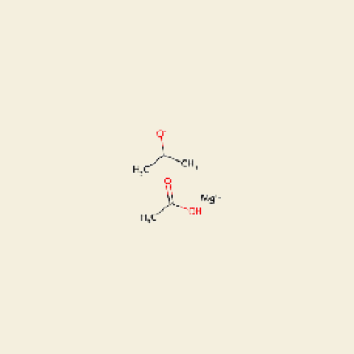 CC(=O)O.CC(C)[O-].[Mg+]